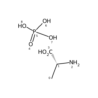 C[C@@H](N)C(=O)O.O=P(O)(O)O